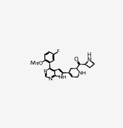 COc1ccc(F)cc1-c1ncnc2[nH]c(C3=CCNC(C(=O)C4CCN4)C3)cc12